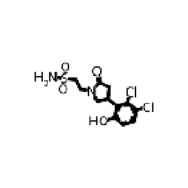 NS(=O)(=O)CCN1CC(c2c(O)ccc(Cl)c2Cl)CC1=O